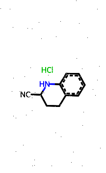 Cl.N#CC1CCc2ccccc2N1